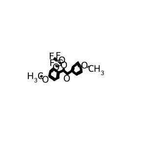 COc1ccc(C(=O)C(OS(=O)(=O)C(F)(F)F)c2ccc(OC)cc2)cc1